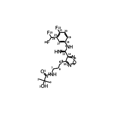 CC(C)(O)C(=O)NCCSc1nonc1C(=N)Nc1ccc(F)c(C(F)F)c1